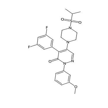 COc1cccc(-n2ncc(N3CCN(S(=O)(=O)C(C)C)CC3)c(-c3cc(F)cc(F)c3)c2=O)c1